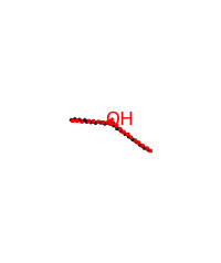 CCCCCCCCCCCCCCCCCCCCC(C)(CO)CCCCCCCCCCCCCCCCCC